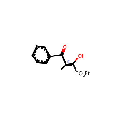 CCOC(=O)/C(O)=C(\C)C(=O)c1ccccc1